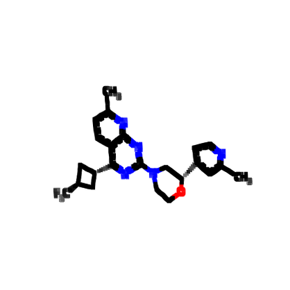 Cc1cc([C@H]2CN(c3nc4nc(C)ccc4c([C@H]4C[C@H](C(F)(F)F)C4)n3)CCO2)ccn1